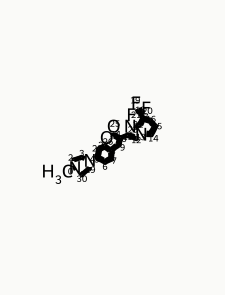 CN1CCN(c2ccc3cc(-c4cn5cccc(C(F)(F)F)c5n4)c(=O)oc3c2)CC1